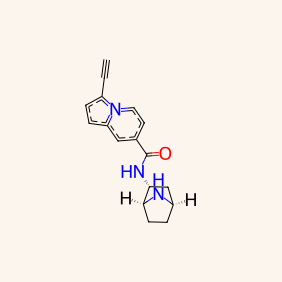 C#Cc1ccc2cc(C(=O)N[C@@H]3C[C@H]4CC[C@@H]3N4)ccn12